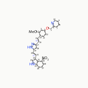 COc1cc(OCc2ccccn2)ccc1/C=C/c1cc(/C=C/c2c[nH]c3cccc([N+](=O)[O-])c23)[nH]n1